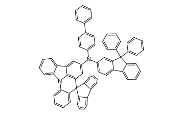 c1ccc(-c2ccc(N(c3ccc4c(c3)C(c3ccccc3)(c3ccccc3)c3ccccc3-4)c3cc4c5c(c3)c3ccccc3n5-c3ccccc3C43c4ccccc4-c4ccccc43)cc2)cc1